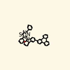 S=c1nc(-c2ccccc2)nc(-n2c3ccccc3c3cc(-c4ccc5c6ccccc6c6ccccc6c5c4)ccc32)n1-c1ccccc1